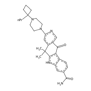 CCCC1(N2CCN(c3cc4c(cn3)C(=O)c3c([nH]c5cc(C(N)=O)ccc35)C4(C)C)CC2)CCC1